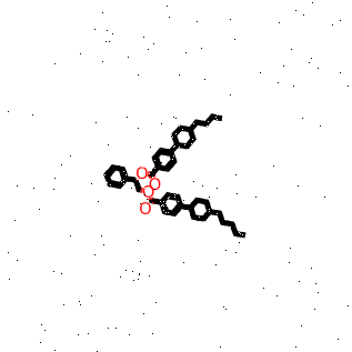 CCCCCC1CCC(c2ccc(C(=O)OCC(OC(=O)c3ccc(C4CCC(CCCC)CC4)cc3)c3ccccc3)cc2)CC1